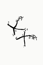 CC(C)C(C)(C)SC(C)(C)C(C)C